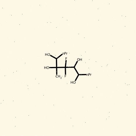 [CH2]C(O)(C(O)CCC)C(F)(F)C(O)C(O)CCC